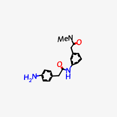 CNC(=O)Cc1cccc(NC(=O)Cc2ccc(N)cc2)c1